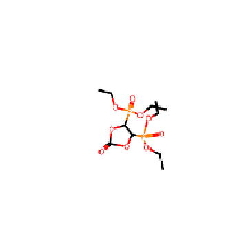 CCOP(=O)(OCC)C1OC(=O)OC1P(=O)(OCC)OCC